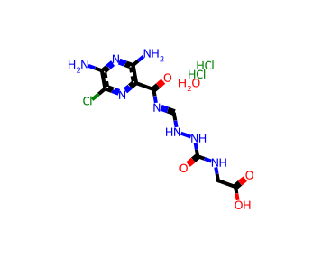 Cl.Cl.Nc1nc(N)c(C(=O)N=CNNC(=O)NCC(=O)O)nc1Cl.O